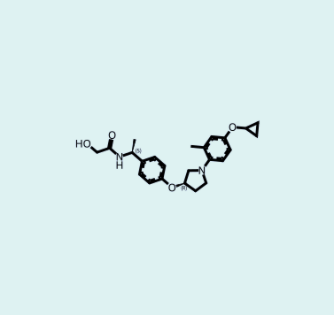 Cc1cc(OC2CC2)ccc1N1CC[C@@H](Oc2ccc([C@H](C)NC(=O)CO)cc2)C1